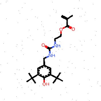 C=C(C)C(=O)OCCNC(=O)NCc1cc(C(C)(C)C)c(O)c(C(C)(C)C)c1